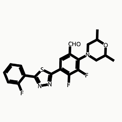 CC1CN(c2c(C=O)cc(-c3nnc(-c4ccccc4F)s3)c(F)c2F)CC(C)O1